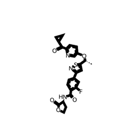 C[C@@H](Oc1ccc(C(=O)C2CC2)nc1)c1cc(-c2ccc(C(=O)N[C@@H]3CCOC3=O)c(F)c2)ns1